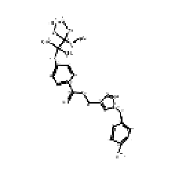 CCCCOC(OCCCC)(OCCCC)C(C)(C=O)Sc1ccc(C(=O)OCc2cnn(Cc3ccc(C)cc3)c2)cc1